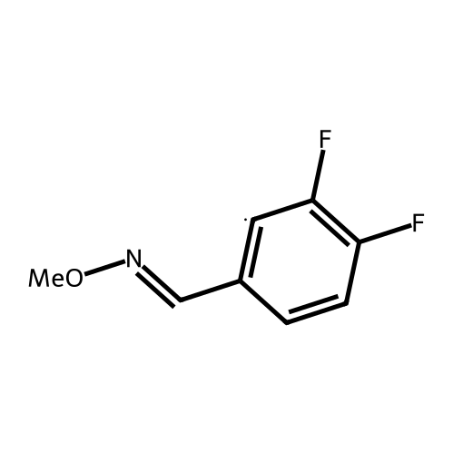 CON=Cc1[c]c(F)c(F)cc1